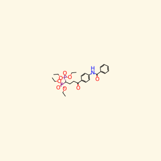 CCOP(=O)(OCC)C(CCC(=O)c1ccc(NC(=O)c2ccccc2)cc1)P(=O)(OCC)OCC